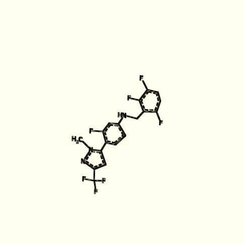 Cn1nc(C(F)(F)F)cc1-c1ccc(NCc2c(F)ccc(F)c2F)cc1F